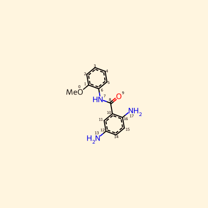 COc1ccccc1NC(=O)c1cc(N)ccc1N